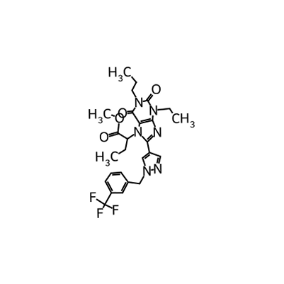 CCCn1c(=O)c2c(nc(-c3cnn(Cc4cccc(C(F)(F)F)c4)c3)n2C(CC)C(=O)OC)n(CC)c1=O